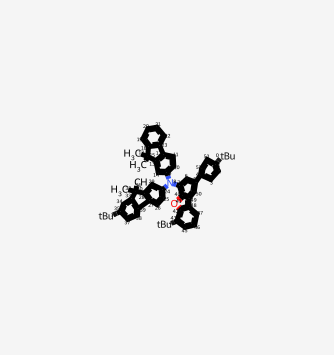 CC(C)(C)c1ccc(-c2cc(N(c3ccc4c(c3)C(C)(C)c3ccccc3-4)c3ccc4c(c3)C(C)(C)c3cc(C(C)(C)C)ccc3-4)c3oc4c(C(C)(C)C)cccc4c3c2)cc1